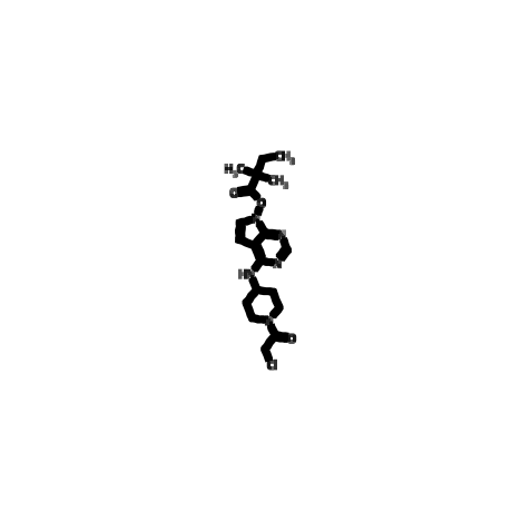 CCC(C)(C)C(=O)On1ccc2c(NC3CCN(C(=O)CCl)CC3)ncnc21